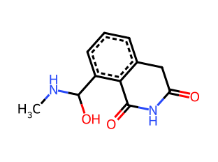 CNC(O)c1cccc2c1C(=O)NC(=O)C2